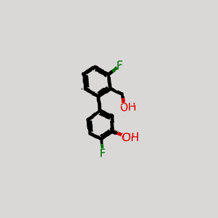 OCc1c(-c2ccc(F)c(O)c2)[c]ccc1F